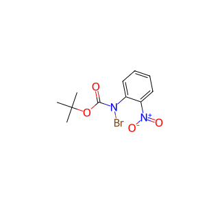 CC(C)(C)OC(=O)N(Br)c1ccccc1[N+](=O)[O-]